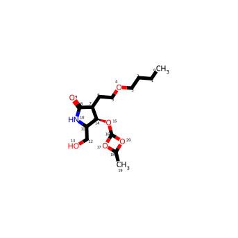 CCCCOCCC1C(=O)NC(CO)[C@@H]1OC1OC(C)O1